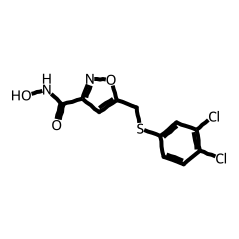 O=C(NO)c1cc(CSc2ccc(Cl)c(Cl)c2)on1